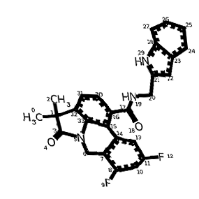 CC1(C)C(=O)N2Cc3c(F)cc(F)cc3-c3c(C(=O)NCc4cc5ccccc5[nH]4)ccc1c32